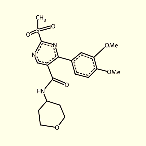 COc1ccc(-c2nc(S(C)(=O)=O)ncc2C(=O)NC2CCOCC2)cc1OC